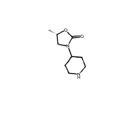 C[C@H]1CN(C2CCNCC2)C(=O)O1